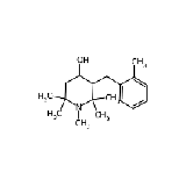 Cc1ccccc1CC1C(O)CC(C)(C)N(C)C1(C)C